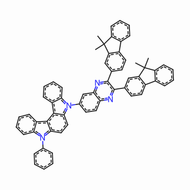 CC1(C)c2ccccc2-c2ccc(-c3nc4ccc(-n5c6ccccc6c6c7c8ccccc8n(-c8ccccc8)c7ccc65)cc4nc3-c3ccc4c(c3)C(C)(C)c3ccccc3-4)cc21